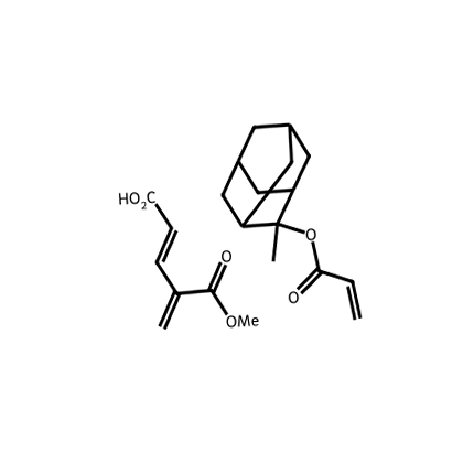 C=C(C=CC(=O)O)C(=O)OC.C=CC(=O)OC1(C)C2CC3CC(C2)CC1C3